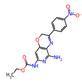 CCOC(=O)Nc1cc2c(c(N)n1)N=C(c1ccc([N+](=O)[O-])cc1)CO2